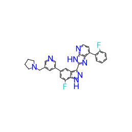 Fc1ccccc1-c1ccnc2[nH]c(-c3n[nH]c4c(F)cc(-c5cncc(CN6CCCC6)c5)cc34)nc12